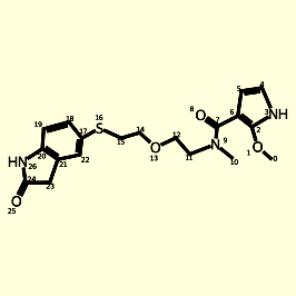 COc1[nH]ccc1C(=O)N(C)CCOCCSc1ccc2c(c1)CC(=O)N2